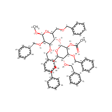 CO[C@H]1OC(COCc2ccccc2)[C@H](O[C@H]2OC(COCc3ccccc3)[C@@H](OCc3ccccc3)C(OCc3ccccc3)C2OC(C)=O)C(OCc2ccccc2)C1OCc1ccccc1